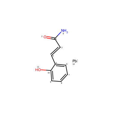 NC(=O)C=Cc1ccccc1O.[Pb]